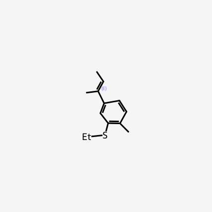 C/C=C(\C)c1ccc(C)c(SCC)c1